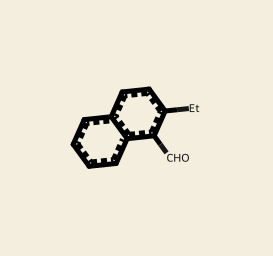 CCc1ccc2ccccc2c1C=O